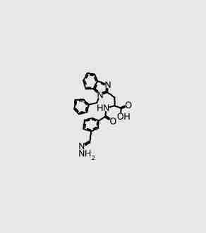 NN=Cc1cccc(C(=O)NC(Cc2nc3ccccc3n2Cc2ccccc2)C(=O)O)c1